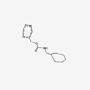 O=C(NCC1CCCCC1)OCc1ccccc1